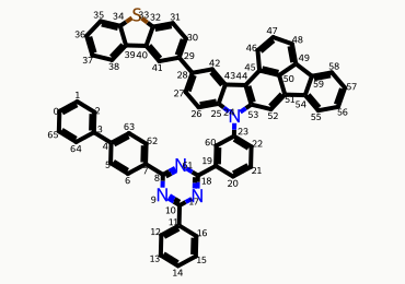 c1ccc(-c2ccc(-c3nc(-c4ccccc4)nc(-c4cccc(-n5c6ccc(-c7ccc8sc9ccccc9c8c7)cc6c6c7cccc8c7c(cc65)-c5ccccc5-8)c4)n3)cc2)cc1